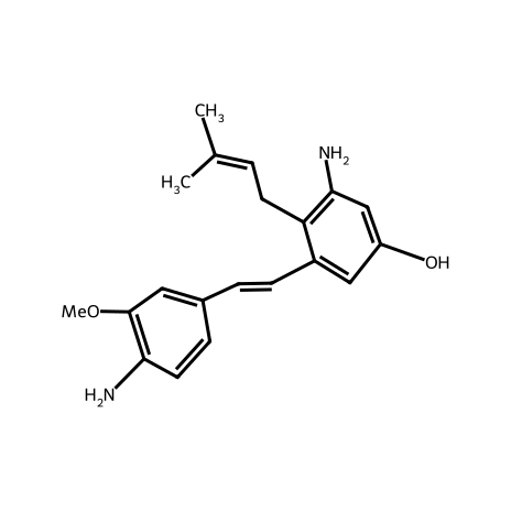 COc1cc(/C=C/c2cc(O)cc(N)c2CC=C(C)C)ccc1N